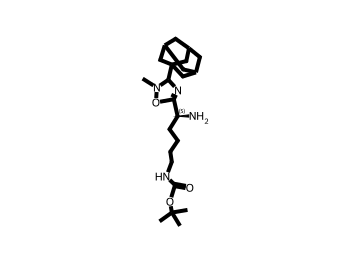 CN1OC([C@@H](N)CCCCNC(=O)OC(C)(C)C)=NC1C12CC3CC(CC(C3)C1)C2